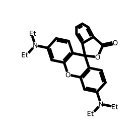 CCN(CC)c1ccc2c(c1)Oc1cc(N(CC)CC)ccc1C21OC(=O)c2ccccc21